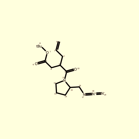 C=CCC(CC(=O)OC(C)(C)C)C(=O)N1CCCC1CN=[N+]=[N-]